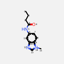 CCCC(=O)Nc1ccc2c(c1)ncn2C